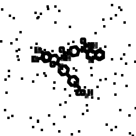 CCc1ccc(C[C@@H](NC(=O)N2CCC(n3c(=O)[nH]c4c5ccccc5ncc43)CC2)C(=O)N2CCC(C3CCN(CC(=O)O)CC3)CC2)cc1CC